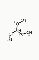 CCO[SiH](OCC)SC#N